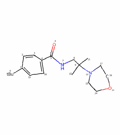 CC(C)(C)c1ccc(C(=O)NCC(C)(C)N2CCOCC2)cc1